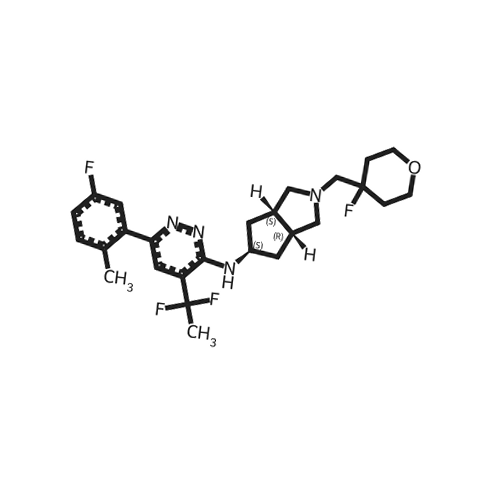 Cc1ccc(F)cc1-c1cc(C(C)(F)F)c(N[C@H]2C[C@@H]3CN(CC4(F)CCOCC4)C[C@@H]3C2)nn1